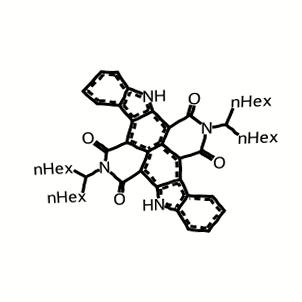 CCCCCCC(CCCCCC)N1C(=O)c2c3[nH]c4ccccc4c3c3c4c(c5[nH]c6ccccc6c5c(c24)C1=O)C(=O)N(C(CCCCCC)CCCCCC)C3=O